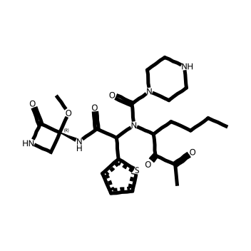 CCCCC(C(=O)C(C)=O)N(C(=O)N1CCNCC1)C(C(=O)N[C@@]1(OC)CNC1=O)c1cccs1